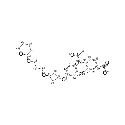 CC(=O)N1c2ccc(O[C@H]3C[C@H](OCCCOC4CCCCO4)C3)cc2Sc2cc([N+](=O)[O-])ccc21